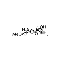 COCCOCCN(C)C1CCN(C(=O)c2csc3c(O)nc(N)nc23)CC1